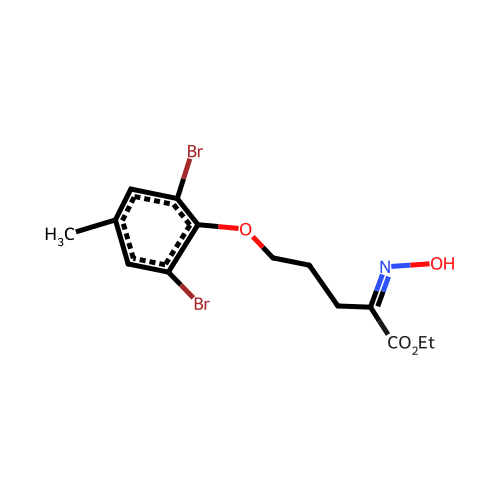 CCOC(=O)C(CCCOc1c(Br)cc(C)cc1Br)=NO